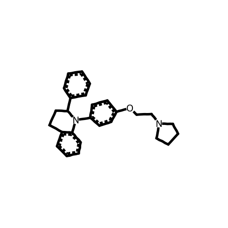 c1ccc(C2CCc3ccccc3N2c2ccc(OCCN3CCCC3)cc2)cc1